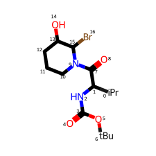 CC(C)C(NC(=O)OC(C)(C)C)C(=O)N1CCCC(O)C1Br